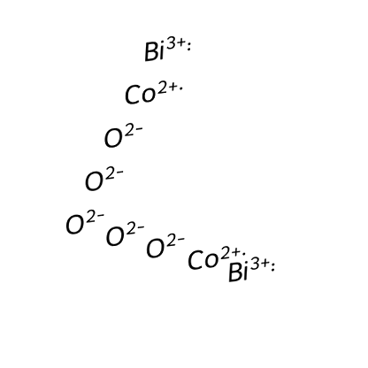 [Bi+3].[Bi+3].[Co+2].[Co+2].[O-2].[O-2].[O-2].[O-2].[O-2]